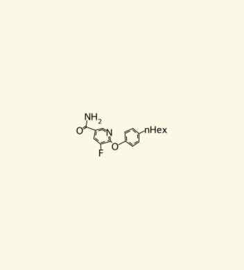 CCCCCCc1ccc(Oc2ncc(C(N)=O)cc2F)cc1